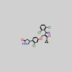 O=C1CC(c2ccc(OCc3c(-c4c(Cl)cccc4Cl)noc3C3CC3)cc2Cl)CN1